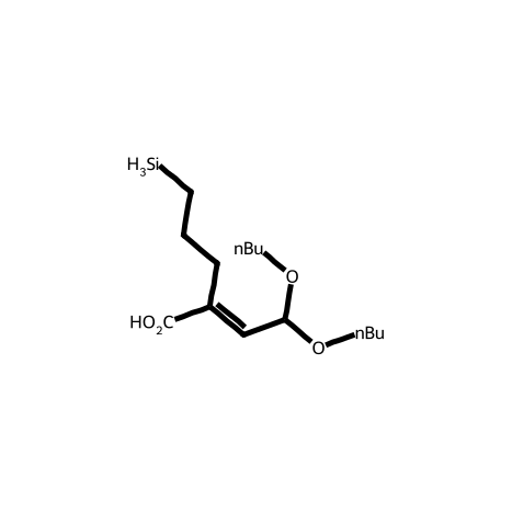 CCCCOC(C=C(CCC[SiH3])C(=O)O)OCCCC